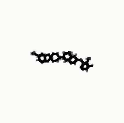 Cc1nccc(Sc2ccc3nc(N4CCC5(CC4)Cc4ccc(O)cc4C5)cnc3n2)c1Cl